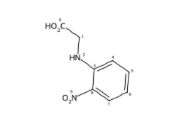 O=C(O)CNc1ccccc1[N+](=O)[O-]